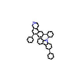 c1ccc(-c2ccc3c(c2)c2ccccc2n3-c2ccccc2-c2ccc3c(-c4ccccc4)cc4cnccc4c3c2)cc1